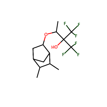 CC1C2CC(OC(C)C(O)(C(F)(F)F)C(F)(F)F)C(C2)C1C